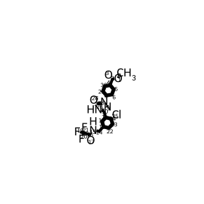 COC(=O)c1ccc(-n2nc(-c3cc(CNC(=O)C(F)(F)F)ccc3Cl)[nH]c2=O)cc1